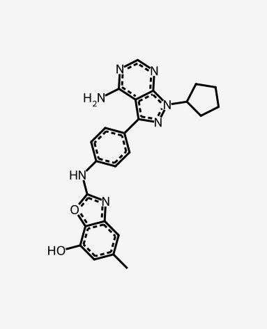 Cc1cc(O)c2oc(Nc3ccc(-c4nn(C5CCCC5)c5ncnc(N)c45)cc3)nc2c1